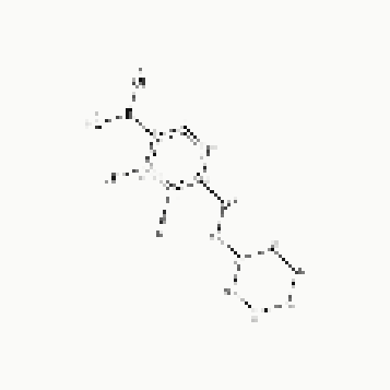 OB(O)c1ccc(OCC2CCCCC2)c(F)c1F